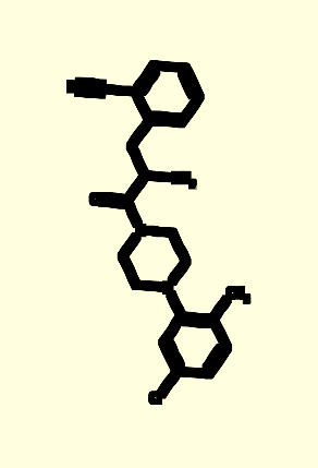 Cc1ccc(Cl)cc1N1CCN(C(=O)C(N)Cc2ccccc2C#N)CC1